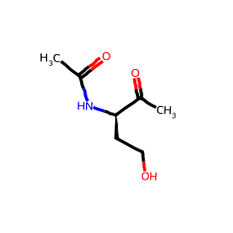 CC(=O)N[C@H](CCO)C(C)=O